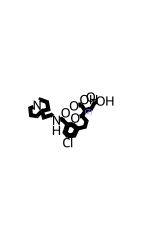 O=C(O)/C=C(\C(=O)O)C1CCc2cc(Cl)cc(C(=O)NCCC34CCCN3CCC4)c2O1